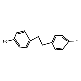 CCc1ccc(CCc2ccc(C#N)cc2)cc1